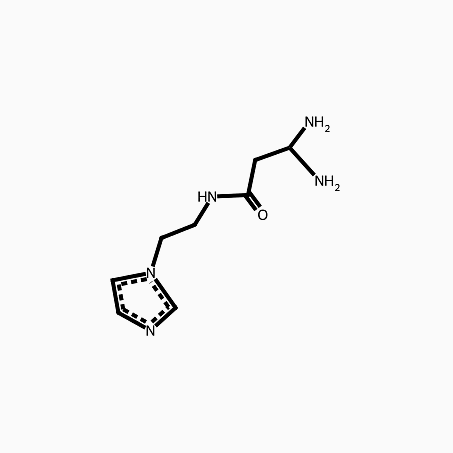 NC(N)CC(=O)NCCn1ccnc1